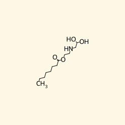 CCCCCCCC(=O)OCCNCC(O)O